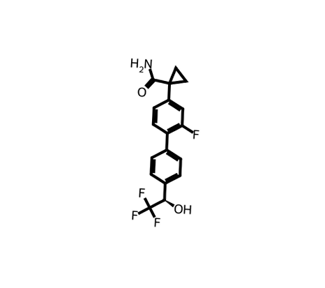 NC(=O)C1(c2ccc(-c3ccc([C@@H](O)C(F)(F)F)cc3)c(F)c2)CC1